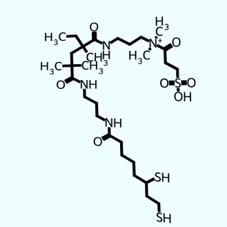 CCC(C)(CC(C)(C)C(=O)NCCCNC(=O)CCCCC(S)CCS)C(=O)NCCC[N+](C)(C)C(=O)CCS(=O)(=O)O